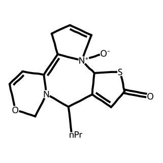 CCCC1C2=CC(=O)SC2[N+]2([O-])C=CCC2=C2C=COCN21